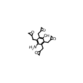 Nc1c(CC2CO2)c(CC2CO2)c(O)c(CC2CO2)c1CC1CO1